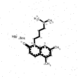 Br.Br.Cc1cc(C)c2ccc(=O)n(CCCCN(C)C)c2n1